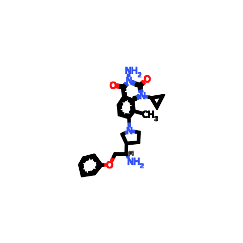 Cc1c(N2CCC([C@@H](N)COc3ccccc3)C2)ccc2c(=O)n(N)c(=O)n(C3CC3)c12